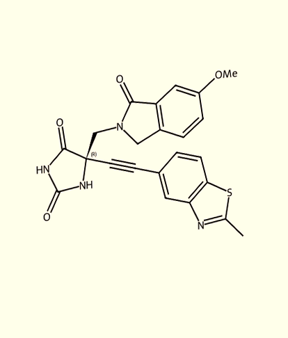 COc1ccc2c(c1)C(=O)N(C[C@@]1(C#Cc3ccc4sc(C)nc4c3)NC(=O)NC1=O)C2